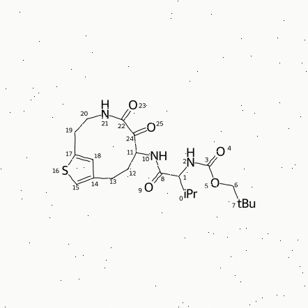 CC(C)C(NC(=O)OCC(C)(C)C)C(=O)NC1CCc2csc(c2)CCNC(=O)C1=O